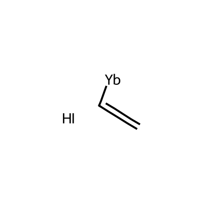 C=[CH][Yb].I